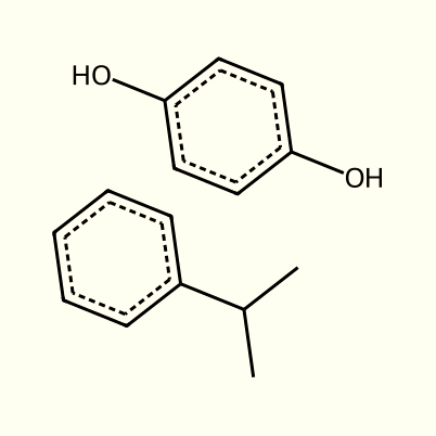 CC(C)c1ccccc1.Oc1ccc(O)cc1